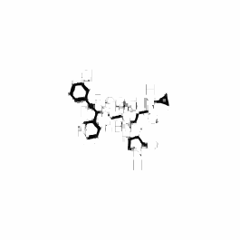 CCCC[C@@H](C(=O)N[C@@H](C[C@@H]1CCNC1=O)C(O)C(=O)NC1CC1)N(C(=O)O)C(c1cccnc1)C(F)(F)c1cccc(Cl)c1